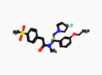 CN(C(=O)Cc1ccc(S(C)(=O)=O)cc1)[C@H](CN1CC[C@H](F)C1)c1cccc(OCC(=O)O)c1